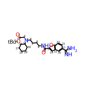 CC(C)(C)OC(=O)CN(CCCCNC(=O)c1cc2cc(C(=N)N)ccc2o1)C1CCCCC1